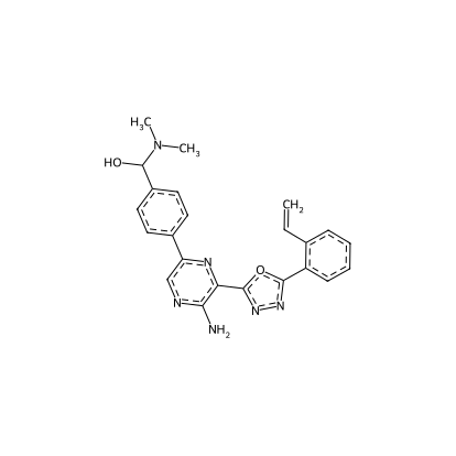 C=Cc1ccccc1-c1nnc(-c2nc(-c3ccc(C(O)N(C)C)cc3)cnc2N)o1